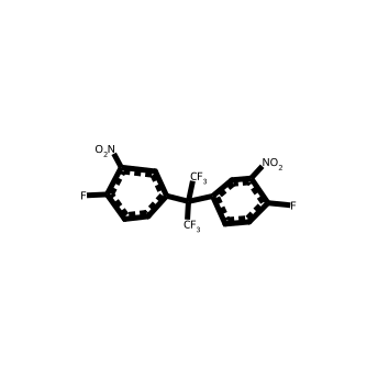 O=[N+]([O-])c1cc(C(c2ccc(F)c([N+](=O)[O-])c2)(C(F)(F)F)C(F)(F)F)ccc1F